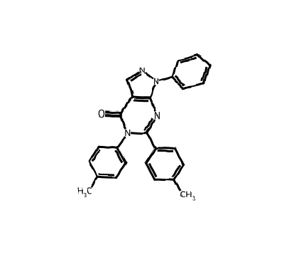 Cc1ccc(-c2nc3c(cnn3-c3ccccc3)c(=O)n2-c2ccc(C)cc2)cc1